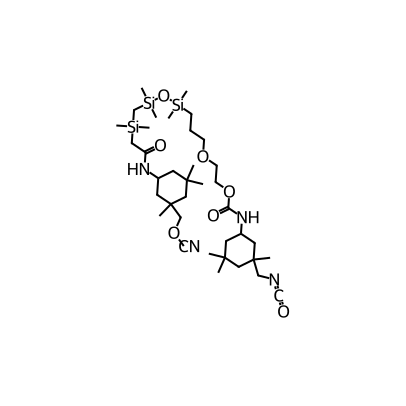 CC1(C)CC(NC(=O)C[Si](C)(C)C[Si](C)(C)O[Si](C)(C)CCCOCCOC(=O)NC2CC(C)(C)CC(C)(CN=C=O)C2)CC(C)(COC#N)C1